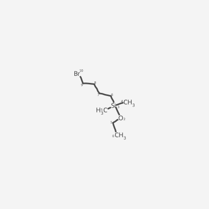 CCO[Si](C)(C)CCCCBr